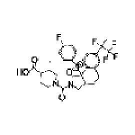 CC1CN(C(=O)N2CC3CCc4cc(C(C)(F)C(F)(F)F)ccc4C3(S(=O)(=O)c3ccc(F)cc3)C2)CCC1C(=O)O